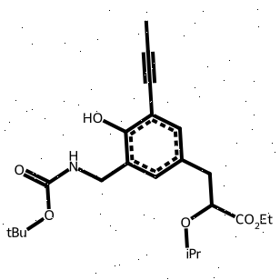 CC#Cc1cc(CC(OC(C)C)C(=O)OCC)cc(CNC(=O)OC(C)(C)C)c1O